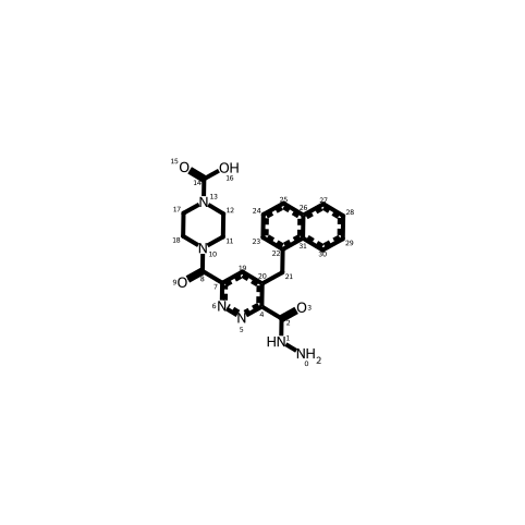 NNC(=O)c1nnc(C(=O)N2CCN(C(=O)O)CC2)cc1Cc1cccc2ccccc12